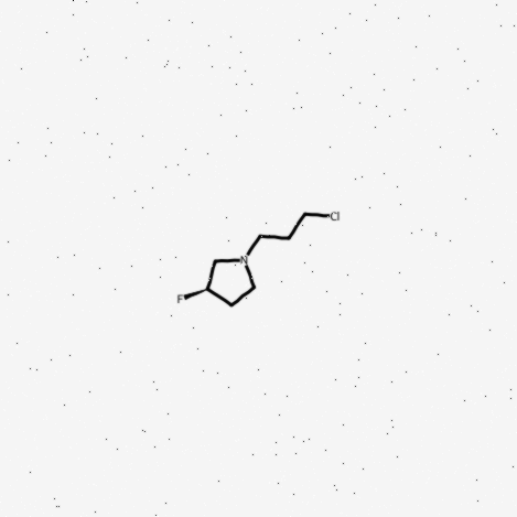 F[C@@H]1CCN(CCCCl)C1